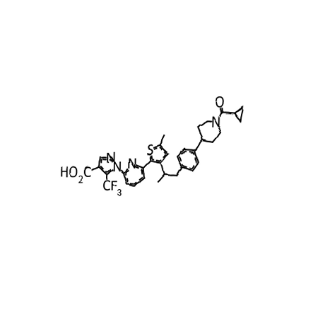 Cc1cc(C(C)Cc2ccc(C3CCN(C(=O)C4CC4)CC3)cc2)c(-c2cccc(-n3ncc(C(=O)O)c3C(F)(F)F)n2)s1